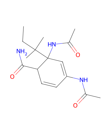 CCC(C)(C)C1(NC(C)=O)C=C(NC(C)=O)C=CC1C(N)=O